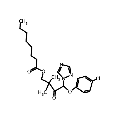 CCCCCCCC(=O)OCC(C)(C)C(=O)C(Oc1ccc(Cl)cc1)n1cncn1